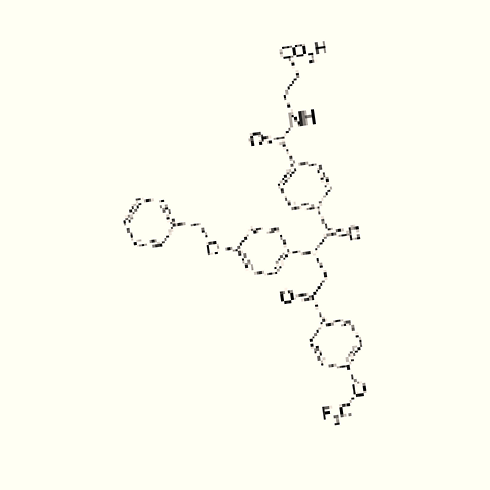 O=C(O)CCNC(=O)c1ccc(C(=O)C(CC(=O)c2ccc(OC(F)(F)F)cc2)c2ccc(OCc3ccccc3)cc2)cc1